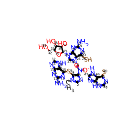 Cn1cnc([N+](=O)[O-])c1Sc1nc(N)nc2nc[nH]c12.Nc1nc(S)c2ncn([C@@H]3O[C@H](CO)[C@@H](O)[C@H]3O)c2n1.S=c1nc[nH]c2nc[nH]c12